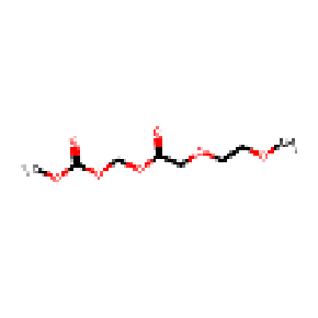 COCCOCC(=O)OCOC(=O)OC